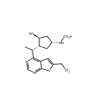 CN(c1ncnc2sc(CC(F)(F)F)cc12)[C@H]1C[C@@H](NC(=O)O)C[C@@H]1O